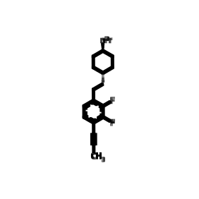 CC#Cc1ccc(CC[C@H]2CC[C@H](CCC)CC2)c(F)c1F